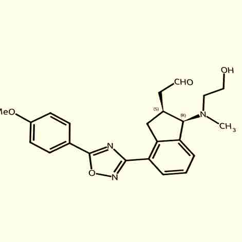 COc1ccc(-c2nc(-c3cccc4c3C[C@@H](CC=O)[C@H]4N(C)CCO)no2)cc1